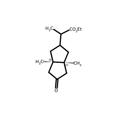 CCOC(=O)C(C)C1C[C@]2(C)CC(=O)C[C@]2(C)C1